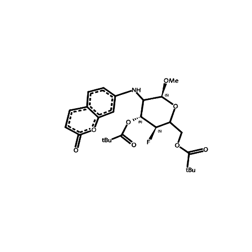 CO[C@H]1OC(COC(=O)C(C)(C)C)[C@@H](F)[C@H](OC(=O)C(C)(C)C)C1Nc1ccc2ccc(=O)oc2c1